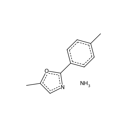 Cc1ccc(-c2ncc(C)o2)cc1.N